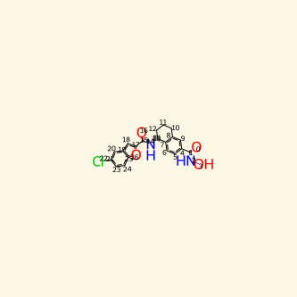 O=C(NO)c1ccc2c(c1)CCC[C@H]2NC(=O)c1cc2cc(Cl)ccc2o1